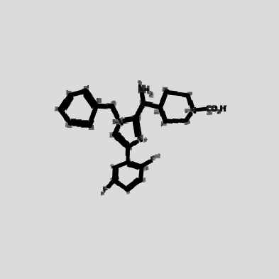 NC(c1nc(-c2cc(F)ccc2F)cn1Cc1ccccc1)C1CCN(C(=O)O)CC1